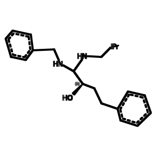 CC(C)CNC(NCc1ccccc1)[C@H](O)CCc1ccccc1